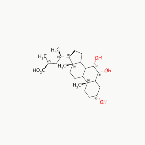 C[C@H](C[C@H](C)C(=O)O)[C@H]1CCC2C3C(CC[C@@]21C)[C@@]1(C)CC[C@@H](O)CC1[C@@H](O)[C@H]3O